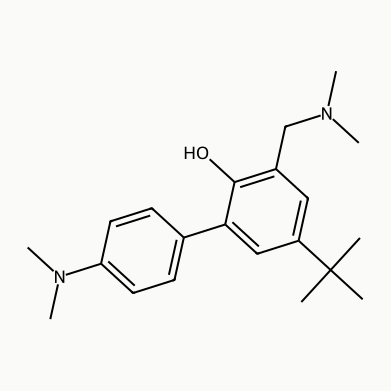 CN(C)Cc1cc(C(C)(C)C)cc(-c2ccc(N(C)C)cc2)c1O